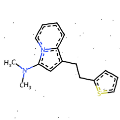 CN(C)c1cc(CCc2cccs2)c2ccccn12